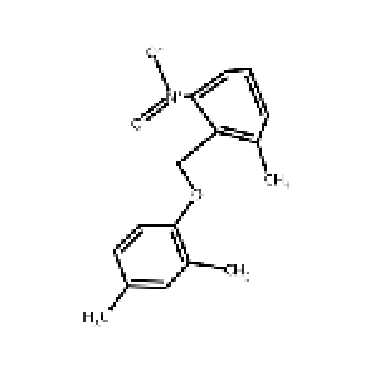 Cc1ccc(OCc2c(C)cccc2[N+](=O)[O-])c(C)c1